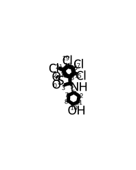 O=S1(=O)CC(NC2CCC(O)CC2)c2c(Cl)c(Cl)c(Cl)c(Cl)c21